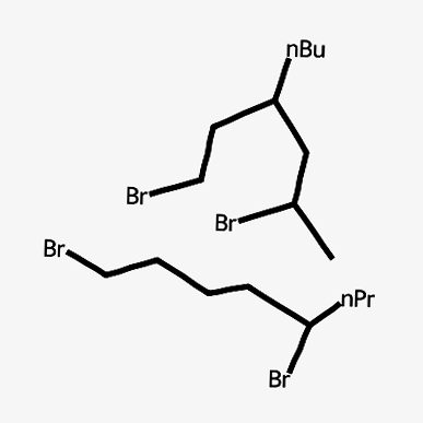 CCCC(Br)CCCCBr.CCCCC(CCBr)CC(C)Br